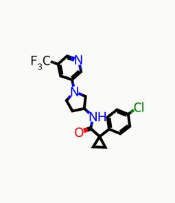 O=C(NC1CCN(c2cncc(C(F)(F)F)c2)C1)C1(c2ccc(Cl)cc2)CC1